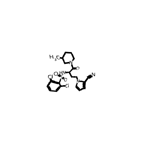 CC1CCCN(C(=O)C(CCn2cccc2C#N)NS(=O)(=O)c2c(Cl)cccc2Cl)C1